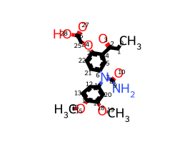 CCC(=O)c1cc(N(C(N)=O)c2ccc(OC)c(OC)c2)ccc1OCC(=O)O